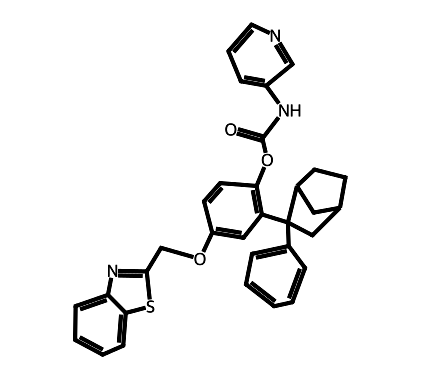 O=C(Nc1cccnc1)Oc1ccc(OCc2nc3ccccc3s2)cc1C1(c2ccccc2)CC2CCC1C2